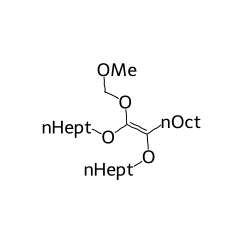 CCCCCCCCC(OCCCCCCC)=C(OCCCCCCC)OCOC